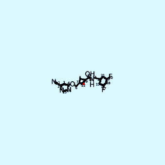 N#Cc1cc(OCC23CC(C(O)NCc4cc(F)cc(F)c4)(C2)C3)ncn1